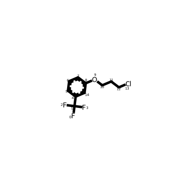 FC(F)(F)c1cccc(OCCCCl)c1